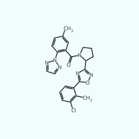 Cc1ccc(-n2nccn2)c(C(=O)N2CCCC2c2noc(-c3cccc(Cl)c3C)n2)c1